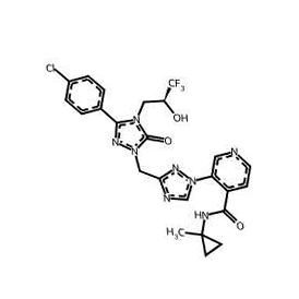 CC1(NC(=O)c2ccncc2-n2cnc(Cn3nc(-c4ccc(Cl)cc4)n(C[C@H](O)C(F)(F)F)c3=O)n2)CC1